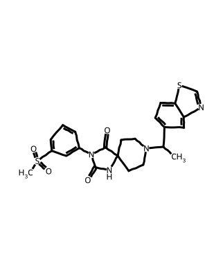 CC(c1ccc2scnc2c1)N1CCC2(CC1)NC(=O)N(c1cccc(S(C)(=O)=O)c1)C2=O